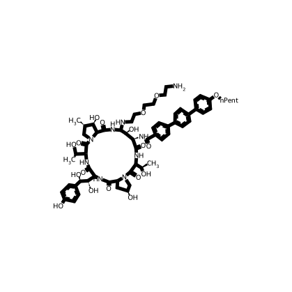 CCCCCOc1ccc(-c2ccc(-c3ccc(C(=O)N[C@@H]4C(=O)NC([C@@H](C)O)C(=O)N5C[C@H](O)CC5C(=O)NC([C@H](O)[C@@H](O)c5ccc(O)cc5)C(=O)NC([C@@H](C)O)C(=O)N5C[C@H](C)[C@H](O)C5C(=O)NC(NCCOCCOCCN)[C@@H]4O)cc3)cc2)cc1